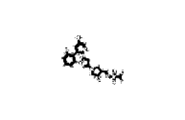 Cc1cnc([C@@H]2CC(N3CC(C=NS(=O)(=O)C(F)F)[C@@H](F)C3)=NO2)c(-c2c(F)cccc2F)c1